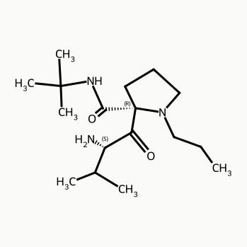 CCCN1CCC[C@]1(C(=O)NC(C)(C)C)C(=O)[C@@H](N)C(C)C